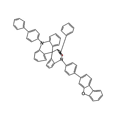 c1ccc(-c2ccc(N3c4ccccc4C4(c5ccccc53)c3ccccc3N(c3ccc(-c5ccc6c(c5)oc5ccccc56)cc3)c3ccc(-c5ccccc5)cc34)cc2)cc1